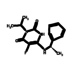 CC(C)n1c(=O)[nH]c(N[C@@H](C)c2ccccc2)c(F)c1=O